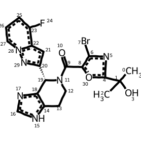 CC(C)(O)c1nc(Br)c(C(=O)N2CCc3[nH]cnc3[C@@H]2c2cc3c(F)cccn3n2)o1